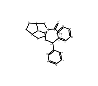 CCC(=O)N1CCC2CCC(C1)N2CCC(c1ccccc1)c1ccccc1